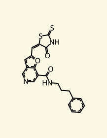 O=C1NC(=S)SC1=Cc1cc2cncc(C(=O)NCCCc3ccccc3)c2o1